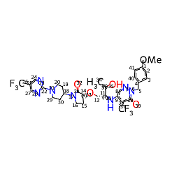 COc1ccc(Cn2ncc(N[C@H](CO[C@@H]3CCN(C4CCN(c5ncc(C(F)(F)F)cn5)CC4)C3=O)[C@@H](C)O)c(C(F)(F)F)c2=O)cc1